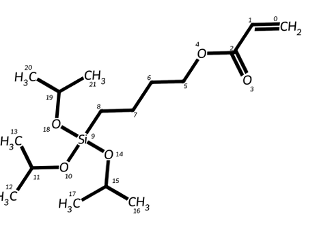 C=CC(=O)OCCCC[Si](OC(C)C)(OC(C)C)OC(C)C